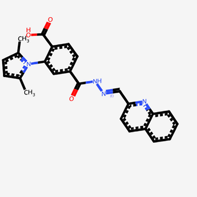 Cc1ccc(C)n1-c1cc(C(=O)N/N=C/c2ccc3ccccc3n2)ccc1C(=O)O